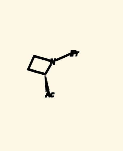 CC(=O)[C@@H]1CCN1C(C)C